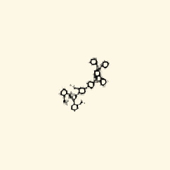 N#Cc1ccccc1-c1cc(-c2ccc(-c3ccc(-n4c5ccccc5c5cc(N(c6ccccc6)c6ccccc6)ccc54)cc3)cc2C#N)nc(-c2ccccc2C#N)n1